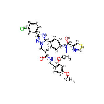 COc1ccc(CNC(=O)CCn2nc(-c3cccc(Cl)c3)nc2-c2ccc(NC(=O)c3cscn3)cc2)c(OC)c1